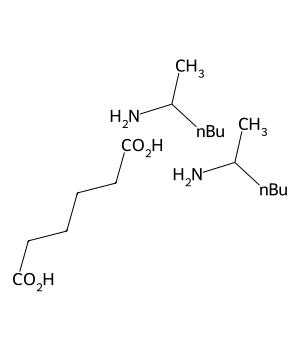 CCCCC(C)N.CCCCC(C)N.O=C(O)CCCCC(=O)O